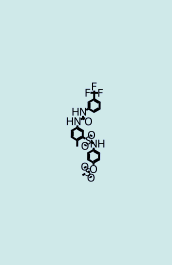 Cc1ccc(NC(=O)Nc2cccc(C(F)(F)F)c2)cc1S(=O)(=O)Nc1ccc(OS(C)(=O)=O)cc1